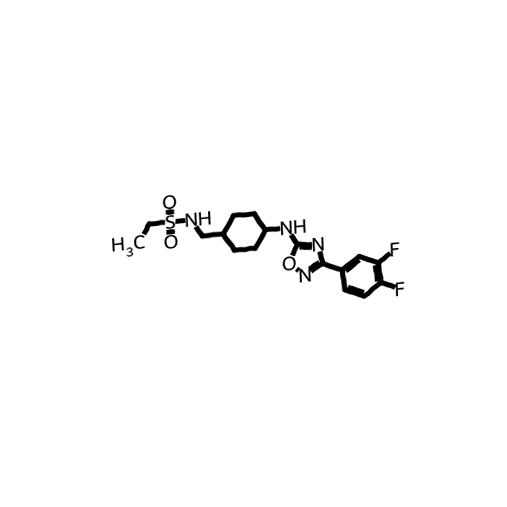 CCS(=O)(=O)NCC1CCC(Nc2nc(-c3ccc(F)c(F)c3)no2)CC1